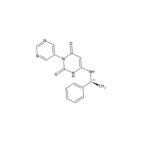 C[C@H](Nc1cc(=O)n(-c2cncnc2)c(=O)[nH]1)c1ccccc1